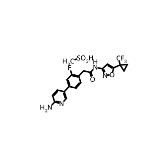 CS(=O)(=O)O.Nc1ccc(-c2ccc(CC(=O)Nc3cc(C4(C(F)(F)F)CC4)on3)c(F)c2)cn1